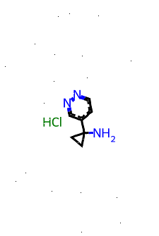 Cl.NC1(c2ccnnc2)CC1